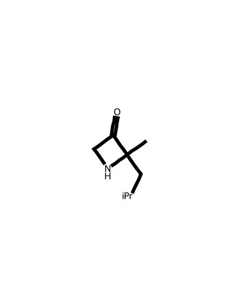 CC(C)CC1(C)NCC1=O